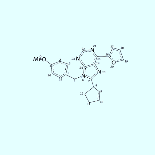 COc1ccc(Cn2c(C3C=CCC3)nc3c(-c4ccco4)ncnc32)cc1